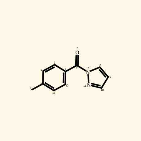 Cc1ccc(C(=O)n2cccn2)cc1